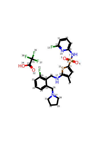 Cc1cc(S(=O)(=O)Nc2cccc(F)n2)sc1NCc1c(F)cccc1CN1CCCC1.O=C(O)C(F)(F)F